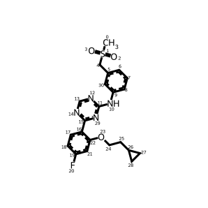 CS(=O)(=O)Cc1cccc(Nc2ncnc(-c3ccc(F)cc3OCCC3CC3)n2)c1